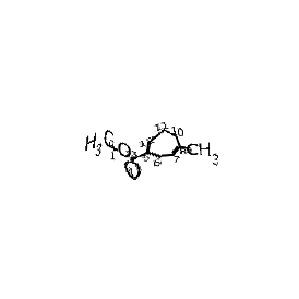 CCOC(=O)C1CC=C(C)CCC1